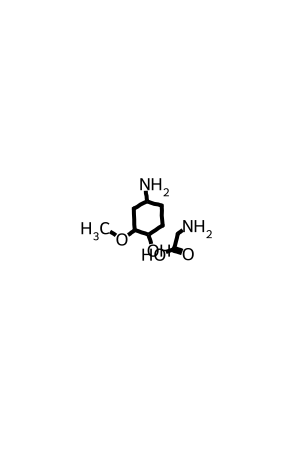 COC1CC(N)CCC1O.NCC(=O)O